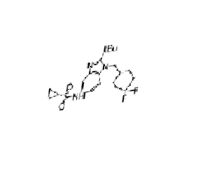 CC(C)(C)c1nc2cc(NS(=O)(=O)C3CC3)ccc2n1CC1CCC(F)(F)CC1